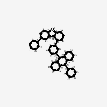 c1ccc(-c2ccc3oc4cccc(-c5cccc(-c6c7ccccc7c(-c7ccccc7)c7ccccc67)c5)c4c3c2)cc1